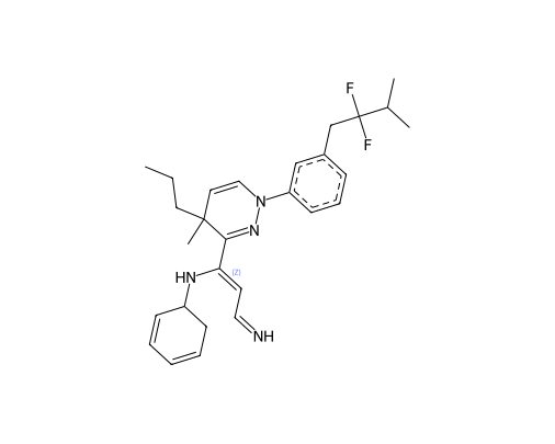 CCCC1(C)C=CN(c2cccc(CC(F)(F)C(C)C)c2)N=C1/C(=C/C=N)NC1C=CC=CC1